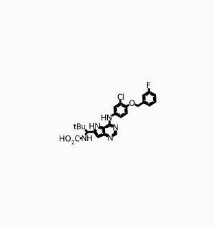 CC(C)(C)C(NC(=O)O)c1cc2ncnc(Nc3ccc(OCc4cccc(F)c4)c(Cl)c3)c2[nH]1